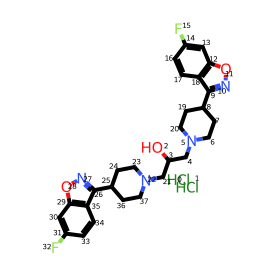 Cl.Cl.OC(CN1CCC(c2noc3cc(F)ccc23)CC1)CN1CCC(c2noc3cc(F)ccc23)CC1